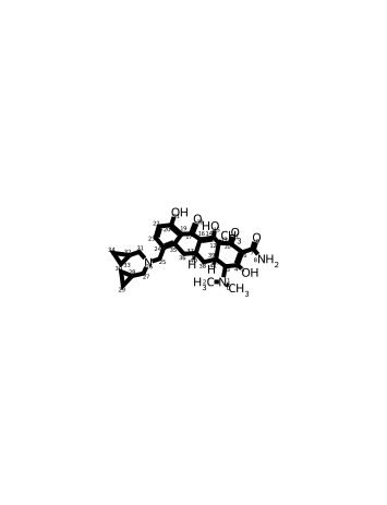 CN(C)C1C(O)=C(C(N)=O)C(=O)[C@@]2(C)C(O)=C3C(=O)c4c(O)ccc(CN(CC5CC5)CC5CC5)c4C[C@H]3C[C@@H]12